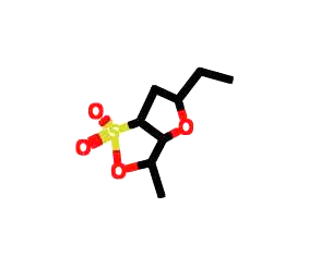 CCC1CC2C(O1)C(C)OS2(=O)=O